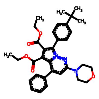 CCOC(=O)c1c(C(=O)OCC)c2c(-c3ccccc3)cc(N3CCOCC3)nn2c1-c1ccc(C(C)(C)C)cc1